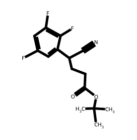 CC(C)(C)OC(=O)CCC(C#N)c1cc(F)cc(F)c1F